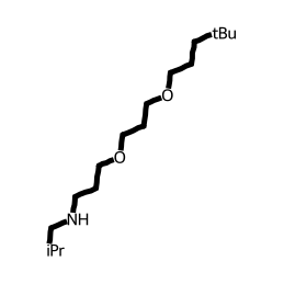 CC(C)CNCCCOCCCOCCCC(C)(C)C